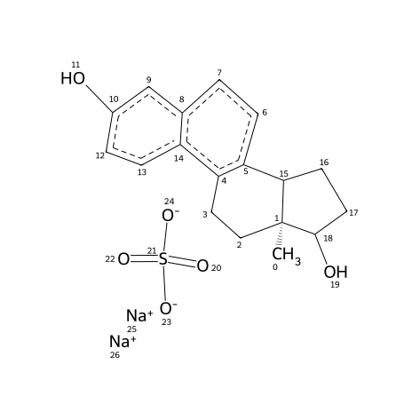 C[C@]12CCc3c(ccc4cc(O)ccc34)C1CCC2O.O=S(=O)([O-])[O-].[Na+].[Na+]